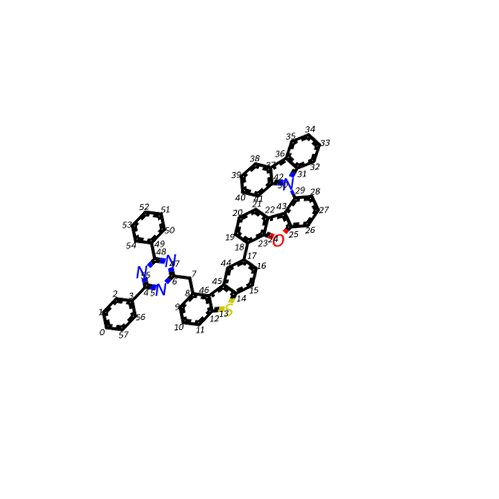 c1ccc(-c2nc(Cc3cccc4sc5ccc(-c6cccc7c6oc6cccc(-n8c9ccccc9c9ccccc98)c67)cc5c34)nc(-c3ccccc3)n2)cc1